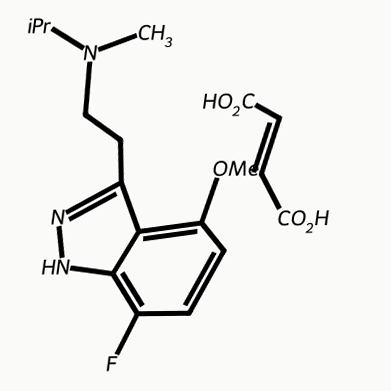 COc1ccc(F)c2[nH]nc(CCN(C)C(C)C)c12.O=C(O)/C=C/C(=O)O